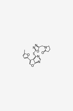 Cc1ccc(-c2coc3ncnc(Sc4nnc(CN5CCCC5=O)o4)c23)o1